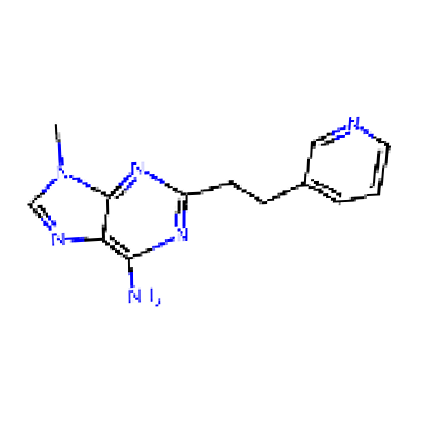 Cn1cnc2c(N)nc(CCc3cccnc3)nc21